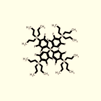 CCC[Si](CCC)(CCC)c1c(F)cc([B-](c2cc(F)c([Si](CCC)(CCC)CCC)c(F)c2F)(c2cc(F)c([Si](CCC)(CCC)CCC)c(F)c2F)c2cc(F)c([Si](CCC)(CCC)CCC)c(F)c2F)c(F)c1F